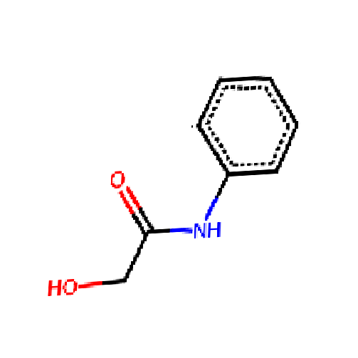 O=C(CO)Nc1[c]cccc1